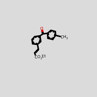 CCOC(=O)C=Cc1cccc(C(=O)c2ccc(C)cc2)c1